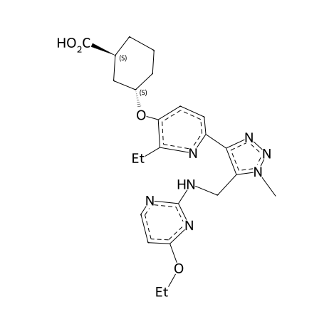 CCOc1ccnc(NCc2c(-c3ccc(O[C@H]4CCC[C@H](C(=O)O)C4)c(CC)n3)nnn2C)n1